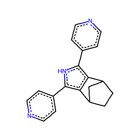 c1cc(-c2[nH]c(-c3ccncc3)c3c2C2CCC3C2)ccn1